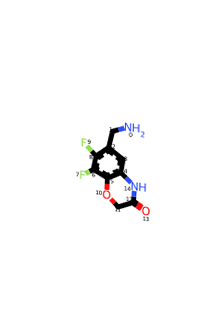 NCc1cc2c(c(F)c1F)OCC(=O)N2